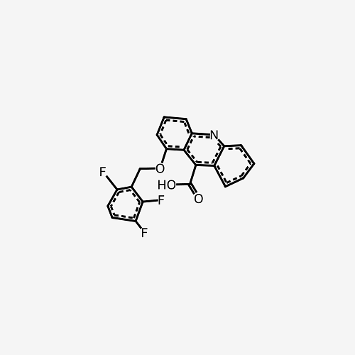 O=C(O)c1c2ccccc2nc2cccc(OCc3c(F)ccc(F)c3F)c12